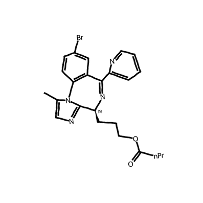 CCCC(=O)OCCC[C@@H]1N=C(c2ccccn2)c2cc(Br)ccc2-n2c(C)cnc21